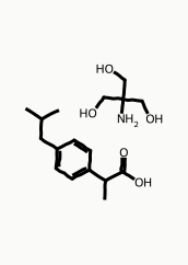 CC(C)Cc1ccc(C(C)C(=O)O)cc1.NC(CO)(CO)CO